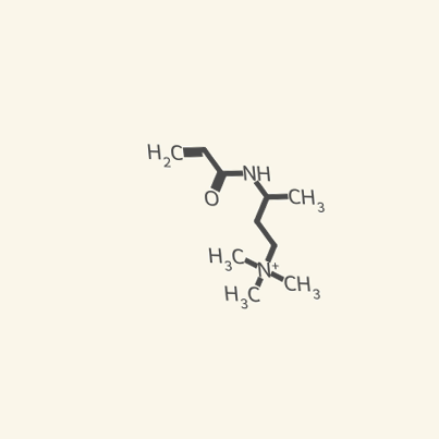 C=CC(=O)NC(C)CC[N+](C)(C)C